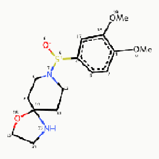 COc1ccc([S+]([O-])N2CCC3(CC2)NCCO3)cc1OC